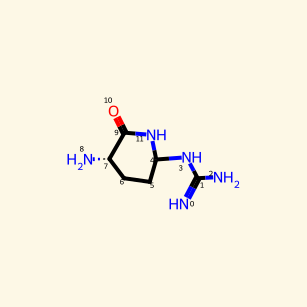 N=C(N)NC1CC[C@H](N)C(=O)N1